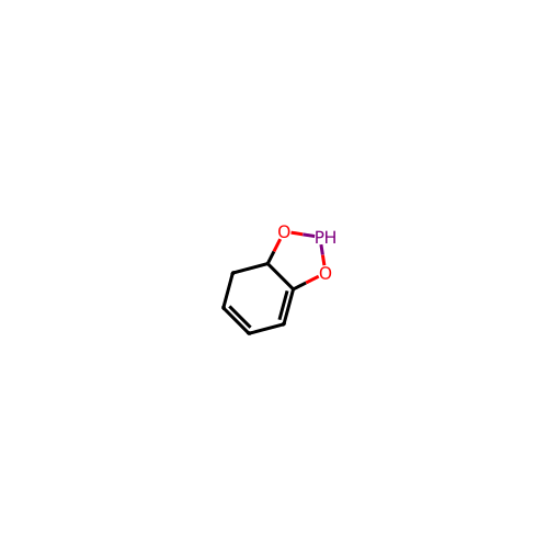 C1=CCC2OPOC2=C1